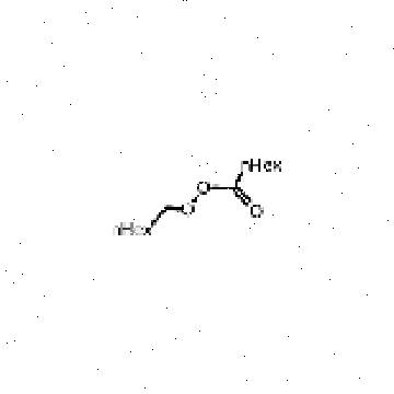 CCCCCCCOOC(=O)CCCCCC